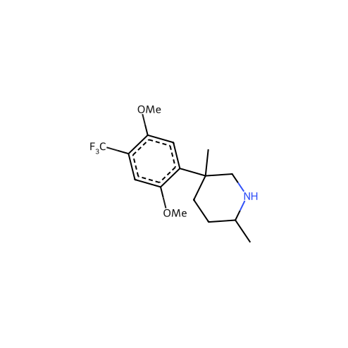 COc1cc(C2(C)CCC(C)NC2)c(OC)cc1C(F)(F)F